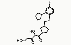 O=C(CCO)C(O)C(=O)C1CCC(CCc2ccc(F)cc2C2CCCC2)C1